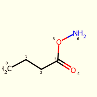 [CH2]CCC(=O)ON